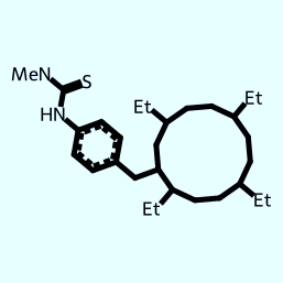 CCC1CCC(CC)CCC(CC)C(Cc2ccc(NC(=S)NC)cc2)CC(CC)CC1